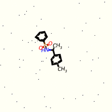 Cc1ccc(C(C)NS(=O)(=O)c2ccccc2)cc1